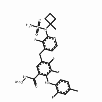 CONC(=O)c1cc(Cc2ccnc(N(C3(C)CCC3)S(N)(=O)=O)c2F)c(F)c(F)c1Nc1ccc(I)cc1F